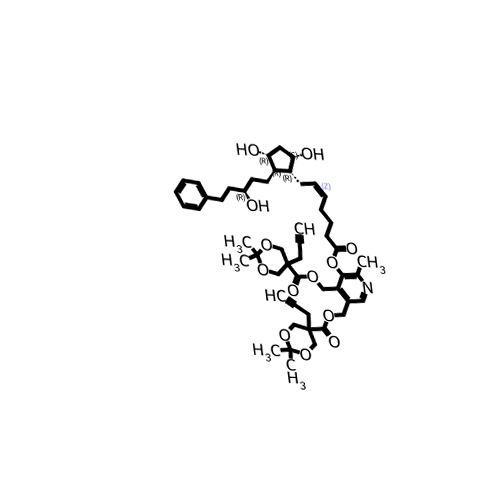 C#CCC1(C(=O)OCc2cnc(C)c(OC(=O)CCC/C=C\C[C@@H]3[C@@H](CC[C@@H](O)CCc4ccccc4)[C@H](O)C[C@@H]3O)c2COC(=O)C2(CC#C)COC(C)(C)OC2)COC(C)(C)OC1